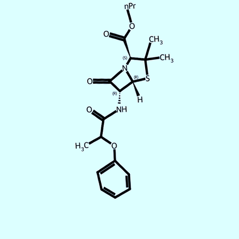 CCCOC(=O)[C@@H]1N2C(=O)[C@@H](NC(=O)C(C)Oc3ccccc3)[C@H]2SC1(C)C